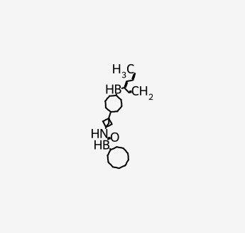 C=C/C(BC1CCCC(C23CC(NC(=O)BC4CCCCCCCCC4)(C2)C3)CCC1)=C\C=C/C